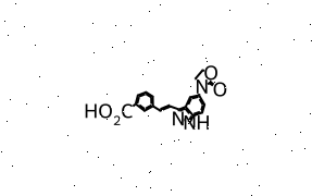 O=C(O)c1cccc(/C=C/c2n[nH]c3ccc(N4CCOC4=O)cc23)c1